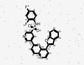 O=S(=O)(Nc1ccc(F)cc1F)c1cncc(-c2ccc3nccc(-c4cc5ccccc5o4)c3n2)c1